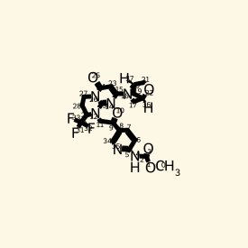 COC(=O)Nc1ccc(C(=O)CN2c3nc(N4C[C@@H]5C[C@H]4CO5)cc(=O)n3CCC2C(F)(F)F)cn1